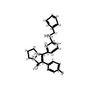 O=c1c(-c2ccc(F)cc2)c(-c2ccnc(NCc3ccccc3)n2)n2n1CCC2